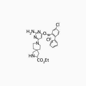 CCOC(=O)C1CC2(CCN(c3cc(O[C@H](c4cc(Cl)ccc4-c4ccccc4)C(F)(F)F)nc(N)n3)CC2)CN1